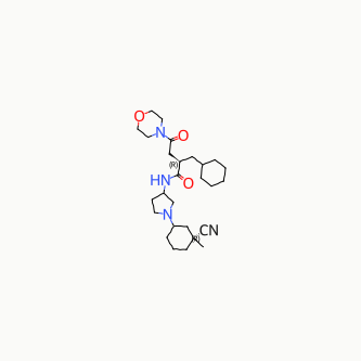 C[C@@]1(C#N)CCCC(N2CCC(NC(=O)[C@@H](CC(=O)N3CCOCC3)CC3CCCCC3)C2)C1